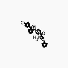 N[C@@H](COCc1ccccc1)C(=O)N1CCN(c2nnc(-c3ccc(Cl)cc3)c3ccccc23)CC1